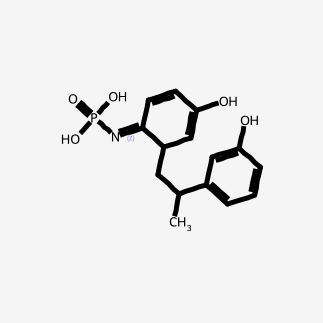 CC(CC1C=C(O)C=C/C1=N\P(=O)(O)O)c1cccc(O)c1